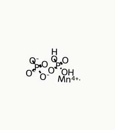 O=P([O-])(O)O.O=P([O-])([O-])[O-].[Mn+4]